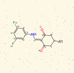 CCC1CC(=O)C(=CNc2cc(F)cc(F)c2)C(=O)C1